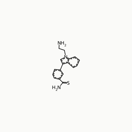 NCCn1cc(-c2cccc(C(N)=S)c2)c2ccccc21